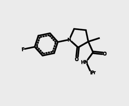 CC(C)NC(=O)C1(C)CCN(c2ccc(F)cc2)C1=O